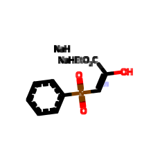 CCOC(=O)/C(O)=C\S(=O)(=O)c1ccccc1.[NaH].[NaH]